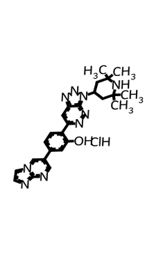 CC1(C)CC(n2nnc3cc(-c4ccc(-c5cnc6nccn6c5)cc4O)nnc32)CC(C)(C)N1.Cl